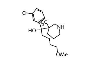 COCCCC[C@@](O)(c1cccc(Cl)c1)C1(C)CCCNC1